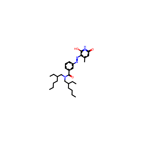 CCCCC(CC)CN(CC(CC)CCCC)C(=O)c1cccc(/N=N/c2c(C)cc(=O)[nH]c2O)c1